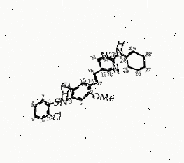 COc1cc(NSc2ccccc2Cl)c(F)cc1/C=C/c1cnc(NC2CCCCC2)nc1